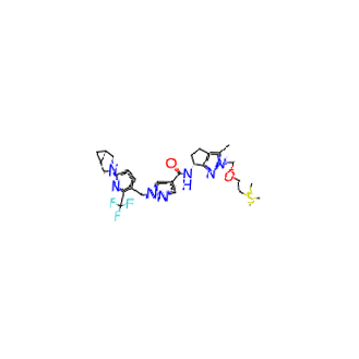 Cc1c2c(nn1COCCS(C)(C)C)[C@H](NC(=O)c1cnn(Cc3ccc(N4CC5CC5C4)nc3C(F)(F)F)c1)CC2